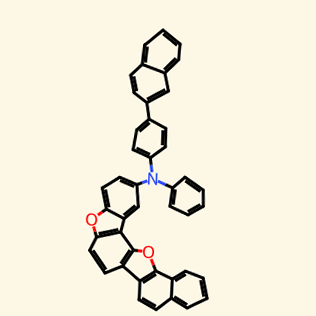 c1ccc(N(c2ccc(-c3ccc4ccccc4c3)cc2)c2ccc3oc4ccc5c6ccc7ccccc7c6oc5c4c3c2)cc1